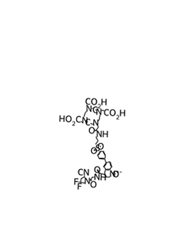 N#C[C@@H]1CC(F)(F)CN1C(=O)CNC(=O)c1cc[n+]([O-])c2ccc(-c3ccc(S(=O)(=O)CCCNC(=O)CN4CCN(CC(=O)O)CCN(CC(=O)O)CCN(CC(=O)O)CC4)cc3)cc12